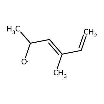 C=CC(C)=CC(C)[O]